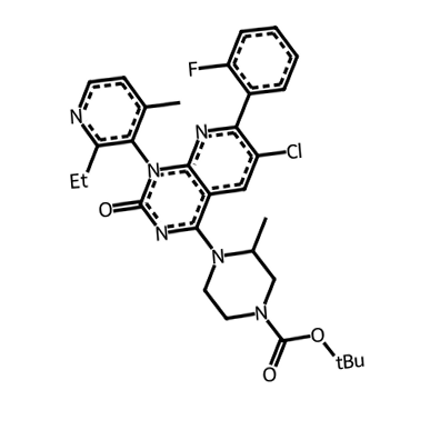 CCc1nccc(C)c1-n1c(=O)nc(N2CCN(C(=O)OC(C)(C)C)CC2C)c2cc(Cl)c(-c3ccccc3F)nc21